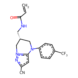 C=CC(=O)NC[C@@H]1CN(c2ccc(C(F)(F)F)cc2)c2cc(C#N)nn2C1